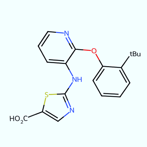 CC(C)(C)c1ccccc1Oc1ncccc1Nc1ncc(C(=O)O)s1